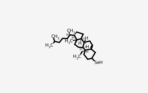 CC[C@]12CC[C]([SeH])CC1=CC[C@@H]1[C@@H]2CC[C@]2(C)[C@@H]([C@H](C)CCCC(C)C)CC[C@@H]12